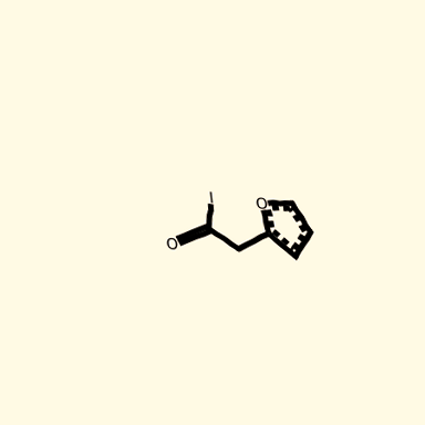 O=C(I)Cc1ccco1